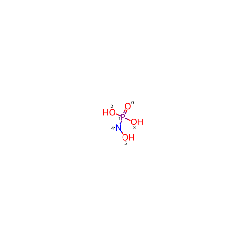 O=P(O)(O)[N]O